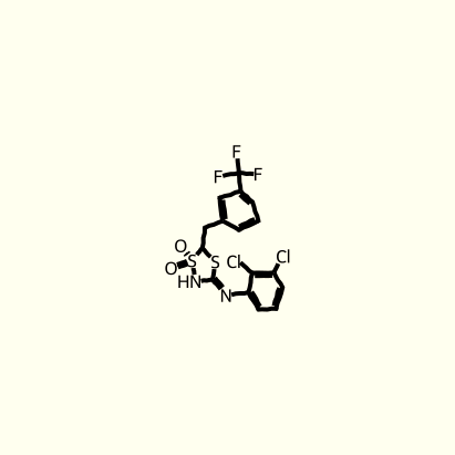 O=S1(=O)NC(=Nc2cccc(Cl)c2Cl)SC1Cc1cccc(C(F)(F)F)c1